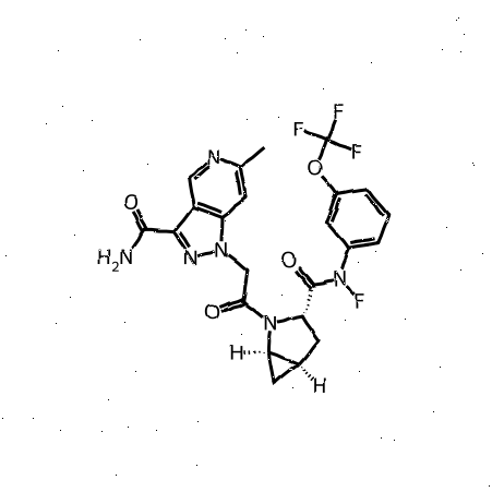 Cc1cc2c(cn1)c(C(N)=O)nn2CC(=O)N1[C@@H]2C[C@@H]2C[C@H]1C(=O)N(F)c1cccc(OC(F)(F)F)c1